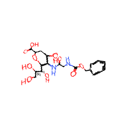 O=C(CNC(=O)OCc1ccccc1)NC1C(O)CC(C(=O)O)OC1[C@H](O)[C@H](O)CO